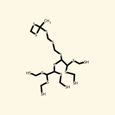 CC1(SCSCSC(SC(SCS)C(SCS)SCS)C(SCS)SCS)SCS1